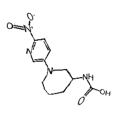 O=C(O)NC1CCCN(c2ccc([N+](=O)[O-])nc2)C1